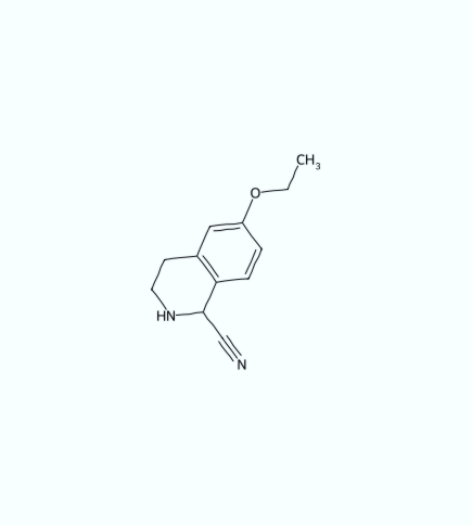 CCOc1ccc2c(c1)CCNC2C#N